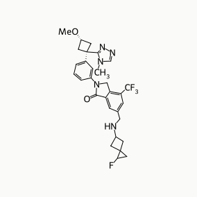 CO[C@H]1C[C@](c2cccc(N3Cc4c(cc(CNC5CC6(C5)CC6F)cc4C(F)(F)F)C3=O)c2)(c2nncn2C)C1